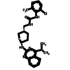 CN(C)c1nc(N[C@H]2CC[C@@H](CNC(=O)Nc3c(Cl)cccc3C(F)(F)F)CC2)nc2ccccc12